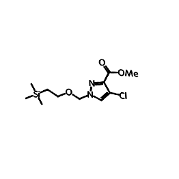 COC(=O)c1nn(COCC[Si](C)(C)C)cc1Cl